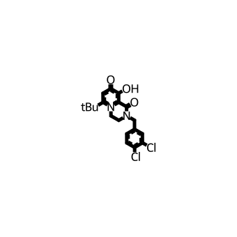 CC(C)(C)c1cc(=O)c(O)c2n1CCN(Cc1ccc(Cl)c(Cl)c1)C2=O